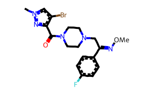 CO/N=C(\CN1CCN(C(=O)c2nn(C)cc2Br)CC1)c1ccc(F)cc1